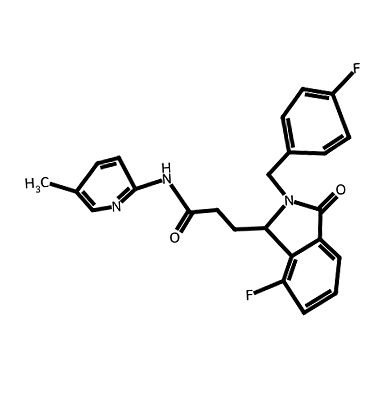 Cc1ccc(NC(=O)CCC2c3c(F)cccc3C(=O)N2Cc2ccc(F)cc2)nc1